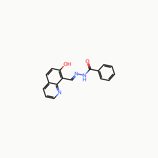 O=C(N/N=C/c1c(O)ccc2cccnc12)c1ccccc1